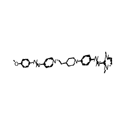 COc1ccc(/N=N/c2cc[n+](CCC3CCN(c4ccc(/N=N/c5n(C)cc[n+]5C)cc4)CC3)cc2)cc1